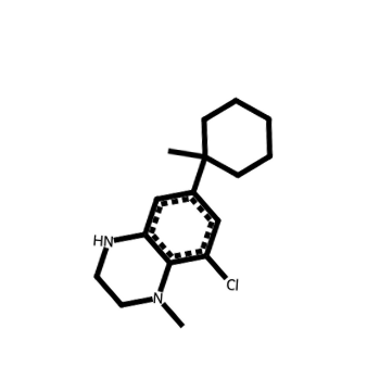 CN1CCNc2cc(C3(C)CCCCC3)cc(Cl)c21